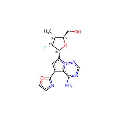 C[C@H]1[C@@H](F)[C@H](c2cc(-c3ncco3)c3c(N)ncnn23)O[C@@H]1CO